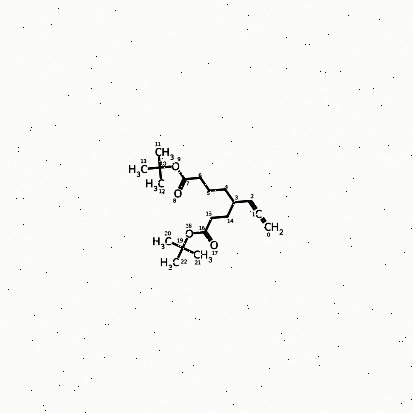 C=C=CC(CCCC(=O)OC(C)(C)C)CCC(=O)OC(C)(C)C